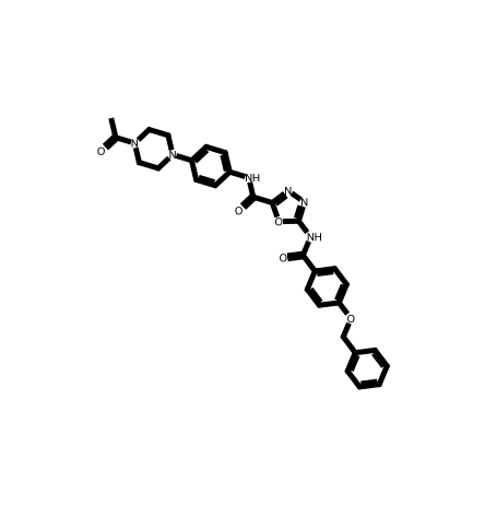 CC(=O)N1CCN(c2ccc(NC(=O)c3nnc(NC(=O)c4ccc(OCc5ccccc5)cc4)o3)cc2)CC1